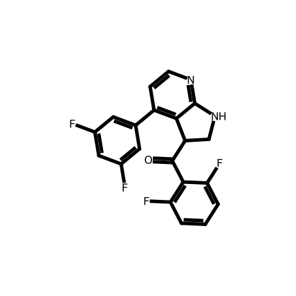 O=C(c1c(F)cccc1F)C1CNc2nccc(-c3cc(F)cc(F)c3)c21